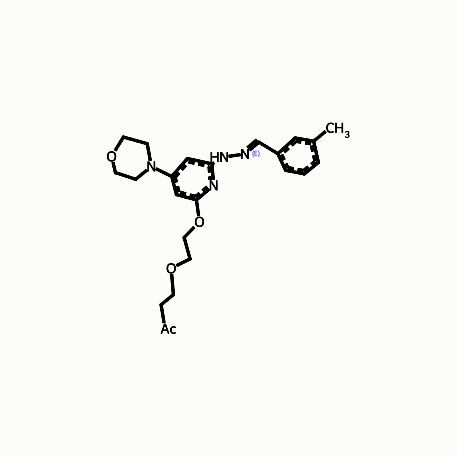 CC(=O)CCOCCOc1cc(N2CCOCC2)cc(N/N=C/c2cccc(C)c2)n1